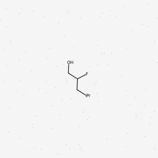 CC(C)CC(F)CO